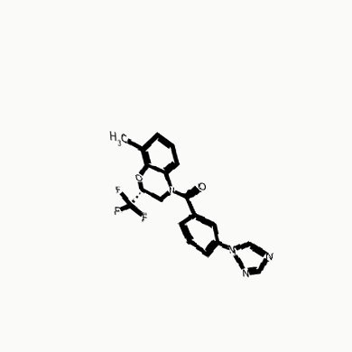 Cc1cccc2c1O[C@@H](C(F)(F)F)CN2C(=O)c1cccc(-n2cncn2)c1